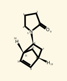 O=C1CCCN1[C@H]1C[C@@H]2C=C[C@H]1C2